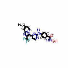 Cc1ccn2c(-c3ccnc(Nc4ccc(C(=O)NO)cc4)n3)c(C(F)(F)F)nc2c1